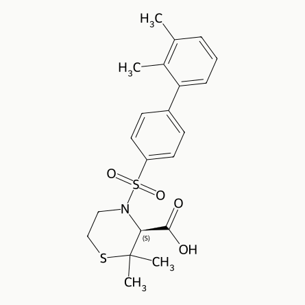 Cc1cccc(-c2ccc(S(=O)(=O)N3CCSC(C)(C)[C@@H]3C(=O)O)cc2)c1C